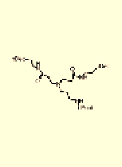 CCCCCCCCCCCCNC(=O)CCN(CCCNCCCCC)CCC(=O)NCCCCCCCCCCCC